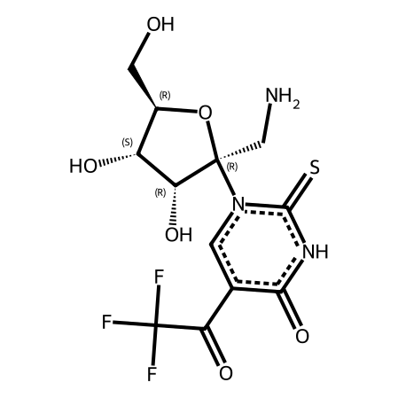 NC[C@@]1(n2cc(C(=O)C(F)(F)F)c(=O)[nH]c2=S)O[C@H](CO)[C@@H](O)[C@H]1O